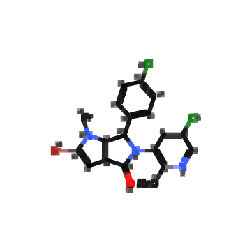 COc1ncc(Cl)cc1N1C(=O)c2cc(Br)n(C(C)C)c2C1c1ccc(Cl)cc1